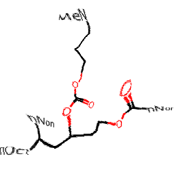 CCCCCCCCCC(=O)OCCC(CC(CCCCCCCC)CCCCCCCCC)OC(=O)OCCCNC